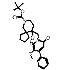 CSc1cn(CC2(O)CCN(C(=O)OC(C)(C)C)CC23CCCC3)c(=O)cc1-c1ccccc1